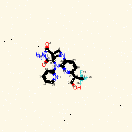 NC(=O)C1CN2C[C@@]1(C(N)=O)N(c1ccccn1)c1nc(C(CO)C(F)(F)F)ccc12